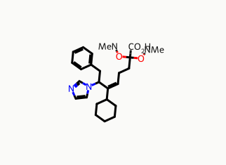 CNOC(CCC=C(C1CCCCC1)C(Cc1ccccc1)n1ccnc1)(ONC)C(=O)O